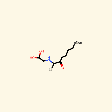 CCCCCCCCCCCCCC(=O)C(CC)NCC(O)O